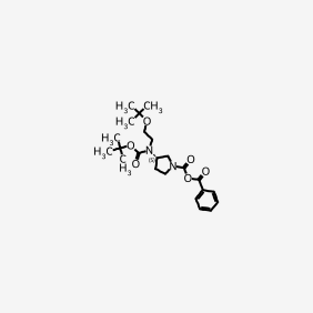 CC(C)(C)OCCN(C(=O)OC(C)(C)C)[C@H]1CCN(C(=O)OC(=O)c2ccccc2)C1